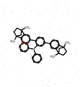 CC12CCC(C)(C1)c1cc(-c3ccc(-c4ccc5c(c4)C4(C)CCC5(C)C4)c(N(c4ccccc4)c4ccccc4)c3)ccc12